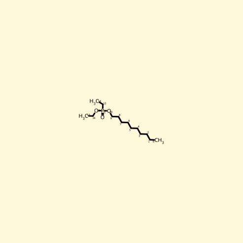 CCCCCCCCCCOP(=O)(CC)OCC